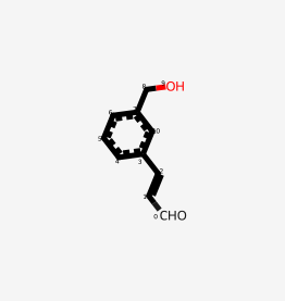 O=CC=Cc1cccc(CO)c1